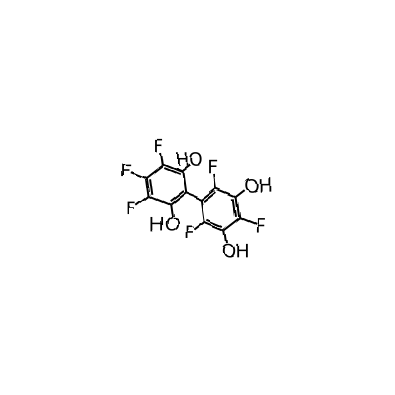 Oc1c(F)c(O)c(F)c(-c2c(O)c(F)c(F)c(F)c2O)c1F